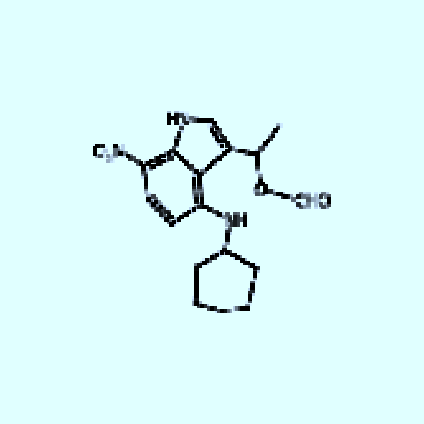 CC(OC=O)c1c[nH]c2c([N+](=O)[O-])ccc(NC3CCCCC3)c12